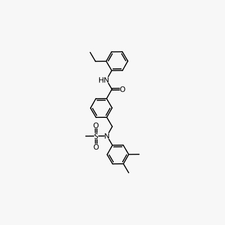 CCc1ccccc1NC(=O)c1cccc(CN(c2ccc(C)c(C)c2)S(C)(=O)=O)c1